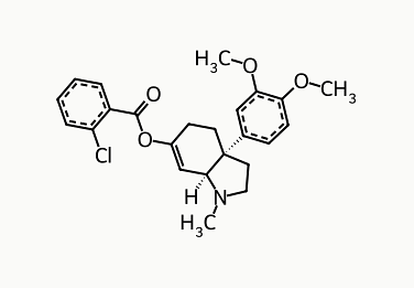 COc1ccc([C@@]23CCC(OC(=O)c4ccccc4Cl)=C[C@@H]2N(C)CC3)cc1OC